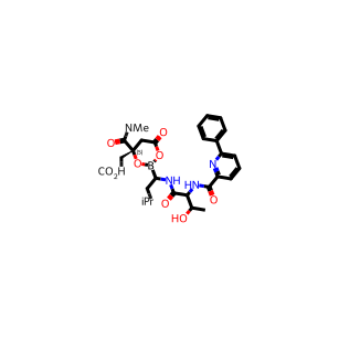 CNC(=O)[C@]1(CC(=O)O)CC(=O)OB(C(CC(C)C)NC(=O)C(NC(=O)c2cccc(-c3ccccc3)n2)C(C)O)O1